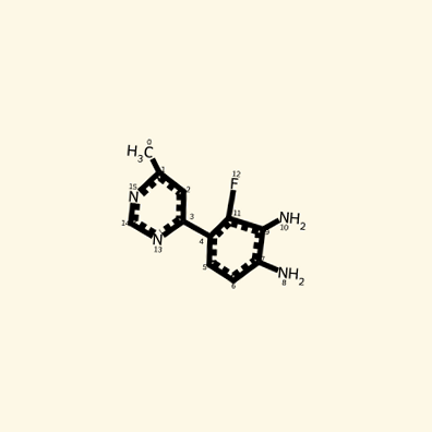 Cc1cc(-c2ccc(N)c(N)c2F)ncn1